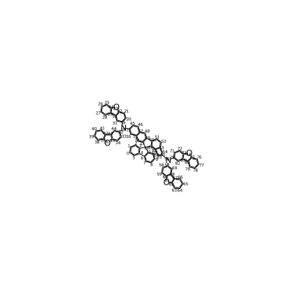 c1ccc2c(c1)-c1ccccc1C21c2cc3cc(N(c4ccc5oc6ccccc6c5c4)c4ccc5oc6ccccc6c5c4)ccc3cc2-c2ccc3cc(N(c4ccc5oc6ccccc6c5c4)c4ccc5oc6ccccc6c5c4)ccc3c21